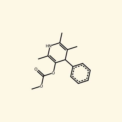 COC(=O)OC1=C(C)NC(C)=C(C)C1c1ccccc1